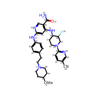 COC1CCN(CCc2ccc(Nc3cc(N[C@@H]4CCN(c5ccc(C#N)cn5)C[C@@H]4F)c(C(N)=O)cn3)cc2)CC1